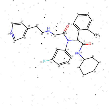 Cc1ccccc1C(C(=O)NC1CCCCC1)N(C(=O)CNCCc1ccncc1)c1cccc(F)c1